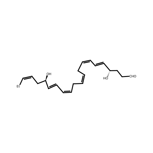 CC/C=C\C[C@@H](O)/C=C/C=C\C/C=C\C/C=C\C=C\[C@@H](O)CCC=O